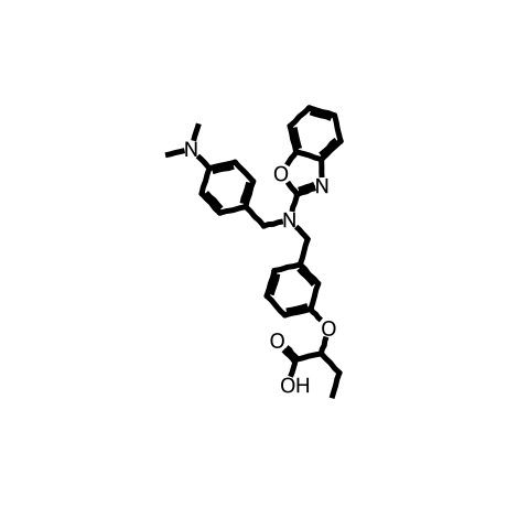 CCC(Oc1cccc(CN(Cc2ccc(N(C)C)cc2)c2nc3ccccc3o2)c1)C(=O)O